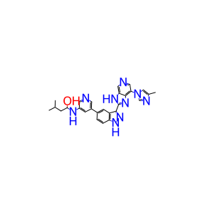 Cc1cn(-c2cncc3[nH]c(-c4n[nH]c5ccc(-c6cncc(NC(O)CC(C)C)c6)cc45)nc23)cn1